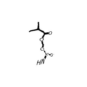 CC(C)C(=O)OCO[N+](=N)[O-]